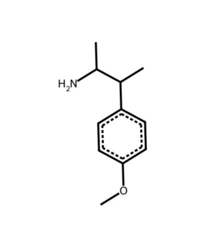 COc1ccc(C(C)C(C)N)cc1